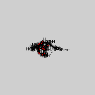 CCCCCOc1ccc(S(=O)(=O)NCCCCCNCc2c(O)cc3c(c2O)-c2cc(ccc2O)[C@H]2CC(=O)[C@@H]4NC(=O)[C@H](CC(N)=O)CC(=O)[C@H](NC(=O)[C@H](CC)CC(C)C)[C@H](O)c5ccc(c(Cl)c5)Oc5cc4cc(c5O[C@@H]4O[C@H](CO)[C@@H](O)[C@H](O)[C@H]4O[C@H]4C[C@](C)(N)[C@H](O)[C@H](C)O4)Oc4ccc(cc4Cl)[C@@H](O)[C@H](NC2=O)C(=O)N[C@@H]3C(=O)O)cc1